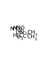 CN(CC(C)(C)C)S(=O)(=O)N=[N+]=[N-]